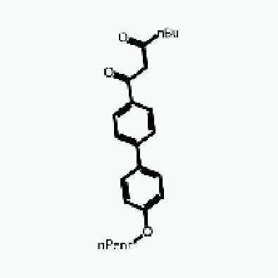 CCCCCOc1ccc(-c2ccc(C(=O)CC(=O)CCCC)cc2)cc1